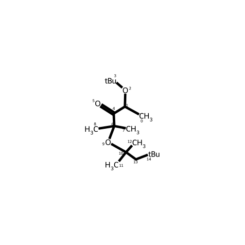 CC(OC(C)(C)C)C(=O)C(C)(C)OC(C)(C)CC(C)(C)C